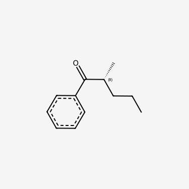 CCC[C@@H](C)C(=O)c1ccccc1